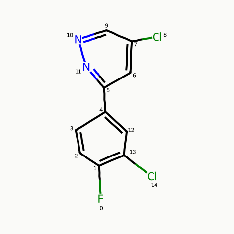 Fc1ccc(-c2cc(Cl)cnn2)cc1Cl